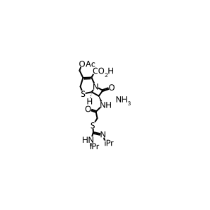 CC(=O)OCC1=C(C(=O)O)N2C(=O)[C@@H](NC(=O)CSC(=NC(C)C)NC(C)C)[C@H]2SC1.N